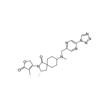 CC1=C(N2C(=O)C3(CCC(N(C)Cc4cnc(-n5cnnn5)cn4)CC3)C[C@@H]2C)COC1=O